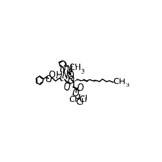 CCCCCCCCCCCCC[C@@H](CC(=O)OCC(Cl)(Cl)Cl)OC(=O)[C@H](CCCC(=O)OCc1ccccc1)NC(=O)N(C)c1ccccn1